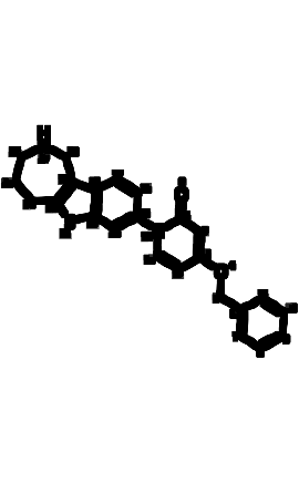 O=c1cc(OCc2ccccc2)ccn1-c1ccc2c3c(sc2c1)CCCNC3